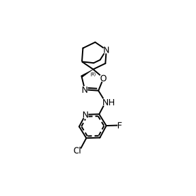 Fc1cc(Cl)cnc1NC1=NC[C@@]2(CN3CCC2CC3)O1